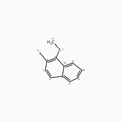 CSc1c(I)ccc2ccccc12